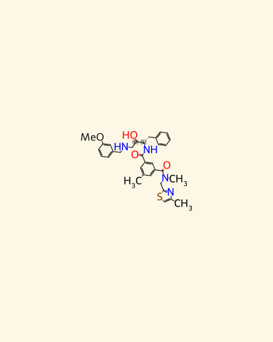 COc1cccc(CNC[C@@H](O)[C@H](Cc2ccccc2)NC(=O)c2cc(C)cc(C(=O)N(C)Cc3nc(C)cs3)c2)c1